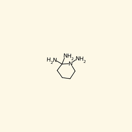 NN1CCCCC1(N)N